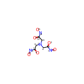 O=NC(=O)CN(CC(=O)N=O)CC(=O)N=O